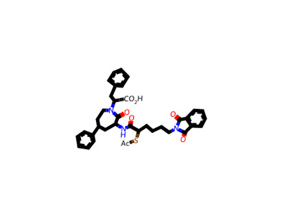 CC(=O)SC(CCCCN1C(=O)c2ccccc2C1=O)C(=O)NC1CC(c2ccccc2)CCN(C(Cc2ccccc2)C(=O)O)C1=O